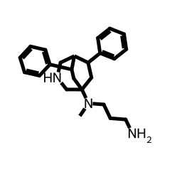 CN(CCCN)C12CNCC(C(c3ccccc3)C1)C(c1ccccc1)C2